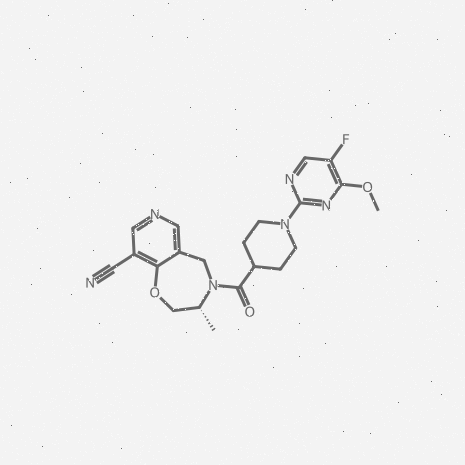 COc1nc(N2CCC(C(=O)N3Cc4cncc(C#N)c4OC[C@H]3C)CC2)ncc1F